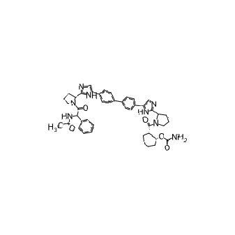 CC(=O)NC(C(=O)N1CCCC1c1ncc(-c2ccc(-c3ccc(-c4cnc(C5CCCN5C(=O)[C@H]5CCCC[C@H]5OC(N)=O)[nH]4)cc3)cc2)[nH]1)c1ccccc1